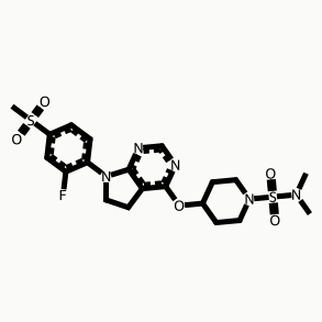 CN(C)S(=O)(=O)N1CCC(Oc2ncnc3c2CCN3c2ccc(S(C)(=O)=O)cc2F)CC1